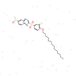 CCCCCCCCCCCCCCOc1ccc(S(=O)(=O)c2ccc3cc([S+](C)[O-])ccc3n2)cc1F